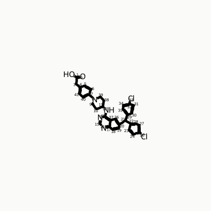 O=C(O)Cc1ccc(N2CCC(Nc3ncnc4ccc(C(c5ccc(Cl)cc5)c5ccc(Cl)cc5)cc34)CC2)cc1